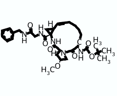 CO[C@@H]1C[C@H]2C(=O)N[C@]3(C(=O)NCC(=O)NCc4ccccc4)C[C@H]3/C=C\CCCCC[C@H](NC(=O)OC(C)(C)C)C(=O)N2C1